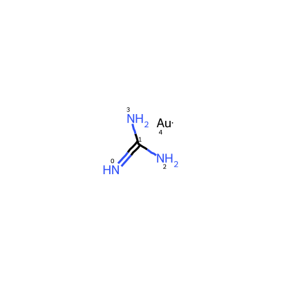 N=C(N)N.[Au]